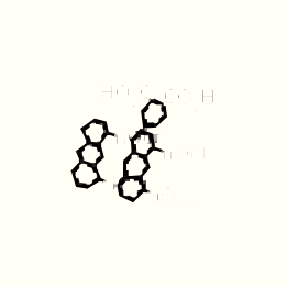 CCCCCCCCc1cccc2cc3cccc(CCCCCCCC)c3cc12.CCCCCCCCc1cccc2cc3cccc(CCCCCCCC)c3cc12.O=C(O)c1ccccc1C(=O)O